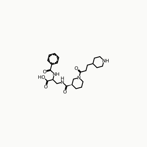 O=C(NC(CNC(=O)[C@@H]1CCCN(C(=O)CCC2CCNCC2)C1)C(=O)O)c1ccccc1